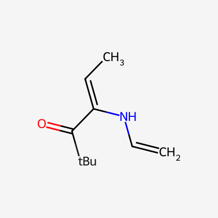 C=CN/C(=C\C)C(=O)C(C)(C)C